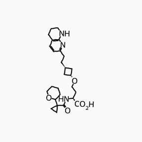 O=C(O)[C@H](CCO[C@H]1C[C@H](CCc2ccc3c(n2)NCCC3)C1)NC(=O)C1(C2CCCCO2)CC1